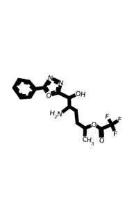 CC(CCC(N)C(O)c1nnc(-c2ccccc2)o1)OC(=O)C(F)(F)F